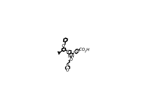 O=C(O)N1CCN(c2nc(OCCCN3CCOCC3)nc3c2CCN(c2cc(OCc4ccccc4)cc(C4CC4)c2)C3)CC1